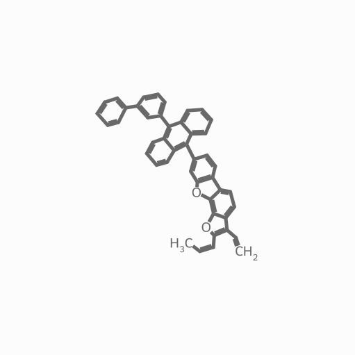 C=Cc1c(/C=C\C)oc2c1ccc1c3ccc(-c4c5ccccc5c(-c5cccc(-c6ccccc6)c5)c5ccccc45)cc3oc12